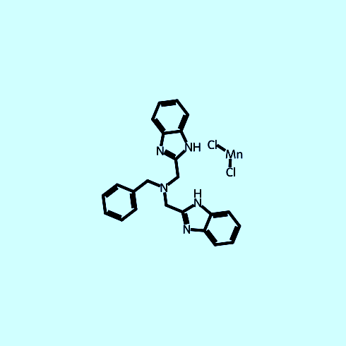 [Cl][Mn][Cl].c1ccc(CN(Cc2nc3ccccc3[nH]2)Cc2nc3ccccc3[nH]2)cc1